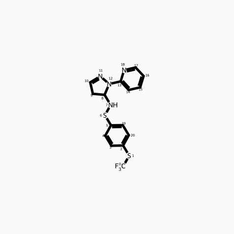 FC(F)(F)Sc1ccc(SNC2CC=NN2c2ccccn2)cc1